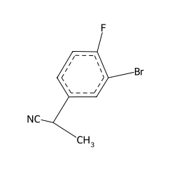 CC(C#N)c1ccc(F)c(Br)c1